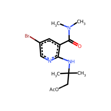 CC(=O)OCC(C)(C)Nc1ncc(Br)cc1C(=O)N(C)C